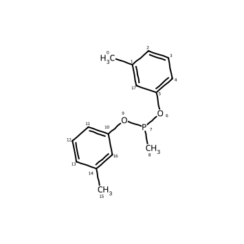 Cc1cccc(OP(C)Oc2cccc(C)c2)c1